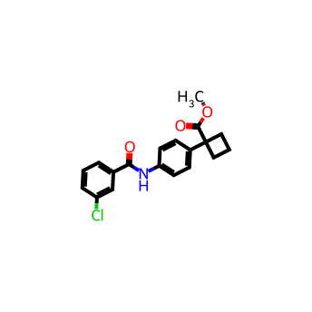 COC(=O)C1(c2ccc(NC(=O)c3cccc(Cl)c3)cc2)CCC1